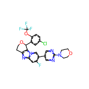 Fc1cc2nc3c(n2cc1-c1cnc(N2CCOCC2)nc1)C(c1cc(Cl)ccc1OC(F)(F)F)OCC3